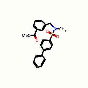 COC(=O)c1cccc(CN(C)S(=O)(=O)c2ccc(-c3ccccc3)cc2)c1